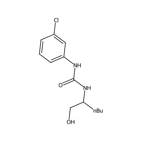 CCCCC(CO)NC(=O)Nc1cccc(Cl)c1